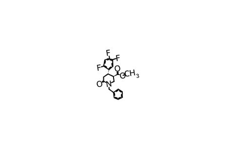 COC(=O)[C@H]1CN(Cc2ccccc2)C(=O)C[C@@H]1c1cc(F)c(F)cc1F